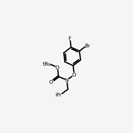 CC(C)CN(Oc1ccc(F)c(Br)c1)C(=O)OC(C)(C)C